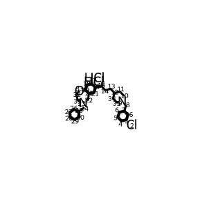 Cl.Cl.Clc1cccc(CN2CCC(CCCc3ccc4c(c3)CN(Cc3ccccc3)CCO4)CC2)c1